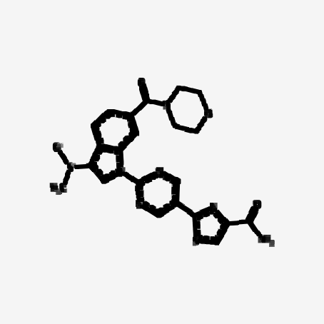 C[S+]([O-])c1cn(-c2ncc(-c3nc(C(N)=O)cs3)cn2)c2cc(C(=O)N3CCOCC3)ccc12